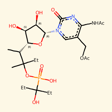 CCC(C)(OP(=O)(O)C(O)(CC)CC)C(C)[C@H]1O[C@@H](n2cc(COC(C)=O)c(NC(C)=O)nc2=O)[C@H](O)[C@@H]1O